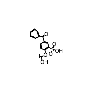 O=C(c1ccccc1)c1ccc(OC(O)I)c(S(=O)(=O)O)c1